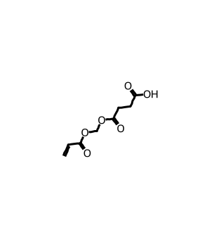 C=CC(=O)OCOC(=O)CCC(=O)O